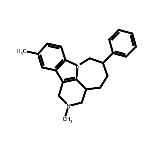 Cc1ccc2c(c1)c1c3n2CC(c2ccccc2)CCC3CN(C)C1